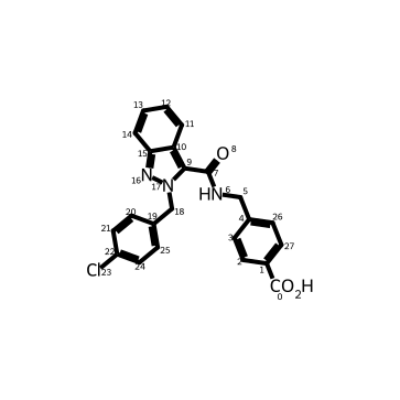 O=C(O)c1ccc(CNC(=O)c2c3ccccc3nn2Cc2ccc(Cl)cc2)cc1